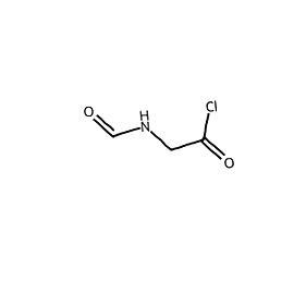 O=CNCC(=O)Cl